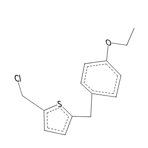 CCOc1ccc(Cc2ccc(CCl)s2)cc1